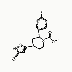 COC(=O)N1CCC(c2cc(=O)[nH]o2)CC1c1ccc(F)cc1